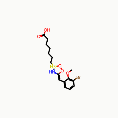 COc1c(Br)cccc1/C=C1/N[SH](CCCCCCC(=O)O)OO1